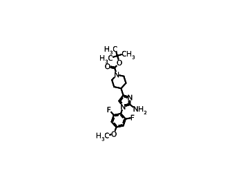 COc1cc(F)c(-n2cc(C3CCN(C(=O)OC(C)(C)C)CC3)nc2N)c(F)c1